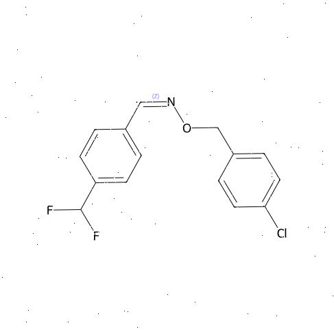 FC(F)c1ccc(/[C]=N\OCc2ccc(Cl)cc2)cc1